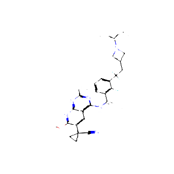 COc1nc2nc(C)nc(N[C@H](C)c3cccc(C(F)(F)CC4CN(C(C)C)C4)c3F)c2cc1C1(C#N)CC1